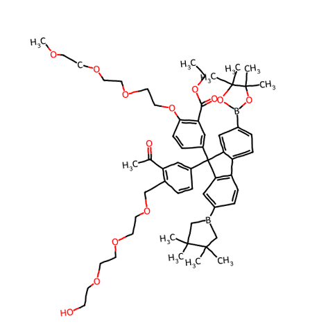 CCOC(=O)c1cc(C2(c3ccc(COCCOCCOCCO)c(C(C)=O)c3)c3cc(B4CC(C)(C)C(C)(C)C4)ccc3-c3ccc(B4OC(C)(C)C(C)(C)O4)cc32)ccc1OCCOCCOCCOC